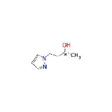 C[C@@H](O)CCn1cccn1